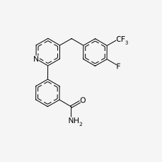 NC(=O)c1cccc(-c2cc(Cc3ccc(F)c(C(F)(F)F)c3)ccn2)c1